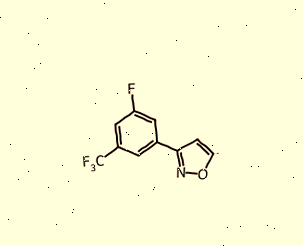 Fc1cc(-c2c[c]on2)cc(C(F)(F)F)c1